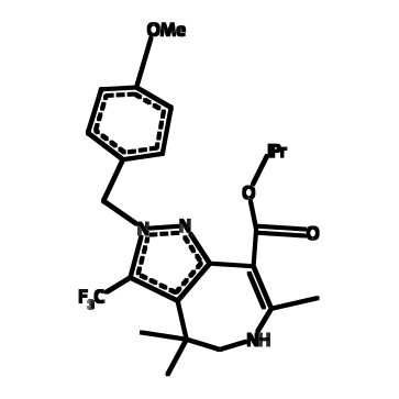 COc1ccc(Cn2nc3c(c2C(F)(F)F)C(C)(C)CNC(C)=C3C(=O)OC(C)C)cc1